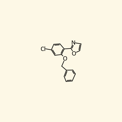 Clc1ccc(-c2ncco2)c(OCc2ccccc2)c1